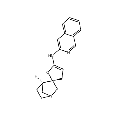 c1ccc2cc(NC3=NC[C@]4(CN5CC[C@@H]4C5)O3)ncc2c1